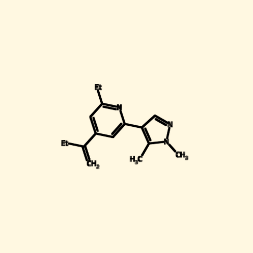 C=C(CC)c1cc(CC)nc(-c2cnn(C)c2C)c1